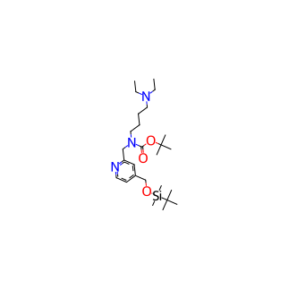 CCN(CC)CCCCN(Cc1cc(CO[Si](C)(C)C(C)(C)C)ccn1)C(=O)OC(C)(C)C